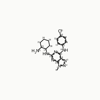 Cn1nnc2c(Nc3ccc(Cl)cc3)nc(NC3CCCCC3N)nc21